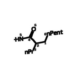 CCCCCCC(CCC)C([NH])=O